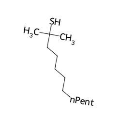 CCCCCCCCCCC(C)(C)S